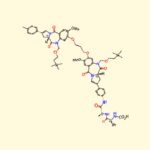 COc1cc2c(cc1OCCCOc1cc3c(cc1OC)C(=O)N1C=C(c4ccc(NC(=O)[C@H](C)NC(=O)[C@@H](NC(=O)O)C(C)C)cc4)C[C@H]1C(=O)N3COCC[Si](C)(C)C)N(COCC[Si](C)(C)C)C(=O)[C@@H]1CC(c3ccc(C)cc3)=CN1C2=O